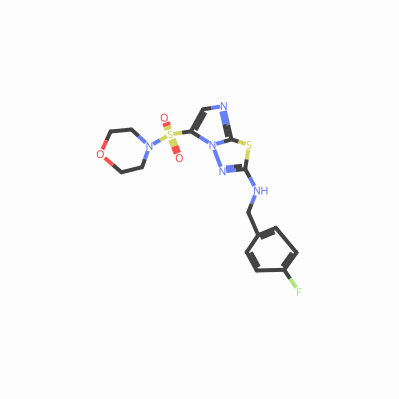 O=S(=O)(c1cnc2sc(NCc3ccc(F)cc3)nn12)N1CCOCC1